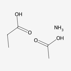 CC(=O)O.CCC(=O)O.N